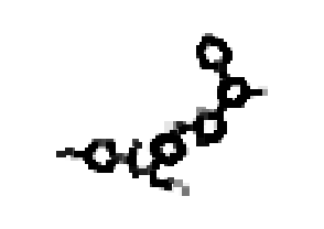 C=CN(/N=C(\N)N1CCC(O)CC1)c1ccc(Nc2nccc(-c3cc(F)cc(N4CCOCC4)c3)n2)cc1